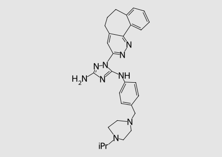 CC(C)N1CCN(Cc2ccc(Nc3nc(N)nn3-c3cc4c(nn3)-c3ccccc3CCC4)cc2)CC1